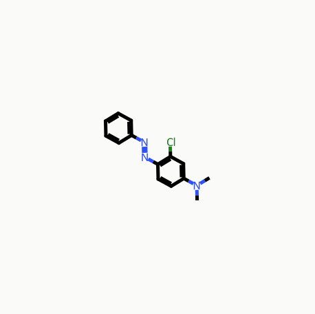 CN(C)c1ccc(N=Nc2ccccc2)c(Cl)c1